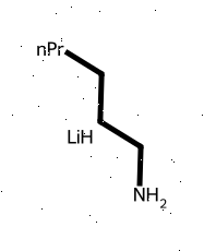 CCCCCCN.[LiH]